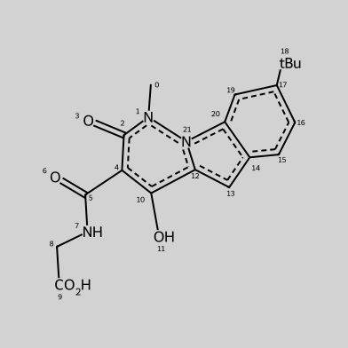 Cn1c(=O)c(C(=O)NCC(=O)O)c(O)c2cc3ccc(C(C)(C)C)cc3n21